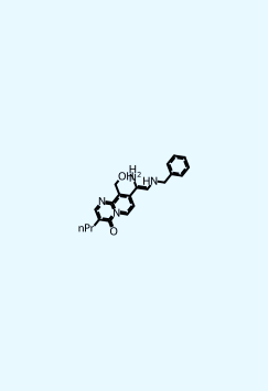 CCCc1cnc2c(CO)c(/C(N)=C/NCc3ccccc3)ccn2c1=O